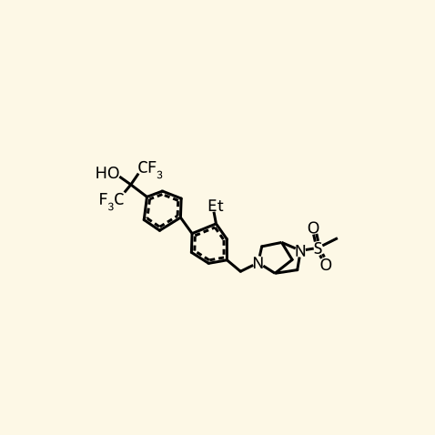 CCc1cc(CN2CC3CC2CN3S(C)(=O)=O)ccc1-c1ccc(C(O)(C(F)(F)F)C(F)(F)F)cc1